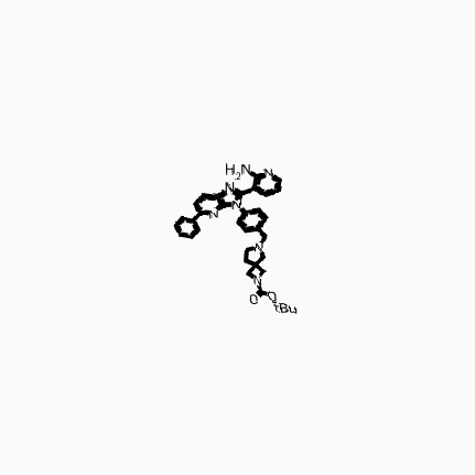 CC(C)(C)OC(=O)N1CC2(CCN(Cc3ccc(-n4c(-c5cccnc5N)nc5ccc(-c6ccccc6)nc54)cc3)C2)C1